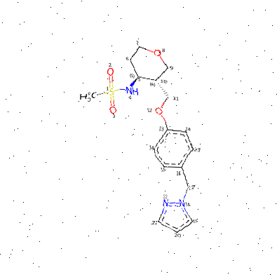 CS(=O)(=O)N[C@H]1CCOC[C@@H]1COc1ccc(Cn2cccn2)cc1